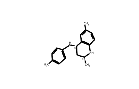 Cc1ccc(N[C@@H]2C[C@H](C)Nc3ccc(C)cc32)cc1